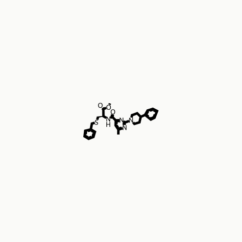 COC(=O)[C@H](CSCc1ccccc1)NC(=O)c1cc(C)nc(N2CCC(c3ccccc3)CC2)n1